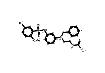 COc1ccc(Br)cc1S(=O)(=O)Nc1cccc(N(CCOC(N)=O)Cc2ccccc2)c1